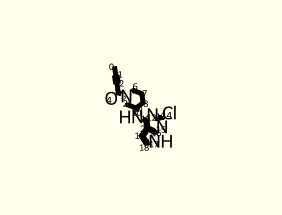 CC#CC(=O)N1CCC[C@@H](Nc2nc(Cl)nc3[nH]ccc23)C1